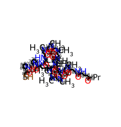 CC(C)CC(NC(=O)[C@H](C)NC(=O)CN(C)C(=O)CN(C)C(=O)CN(C)C(=O)CN(C)C(=O)CN(C)C(=O)CN(C)C(=O)CN(C)C(=O)CN(C)C(=O)CN(C)C(=O)CN(C)C(=O)CCNC(=O)CCCC(=O)C(C)C)C(=O)N1CCC[C@H]1C(=O)N1CCC[C@H]1C(=O)CS